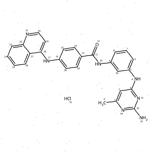 Cc1cc(Nc2cccc(NC(=O)c3ccc(Nc4ccnc5ccccc45)cc3)c2)nc(N)n1.Cl